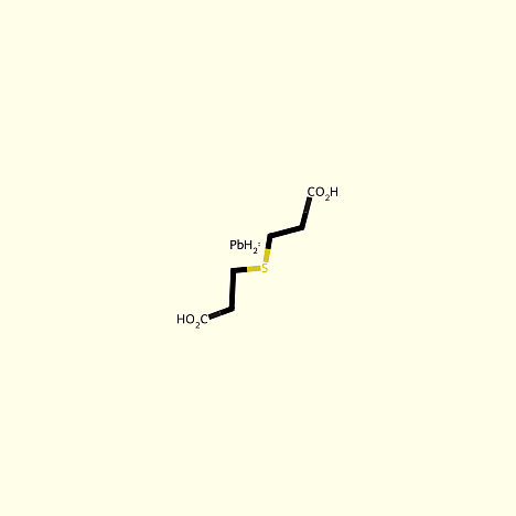 O=C(O)CCSCCC(=O)O.[PbH2]